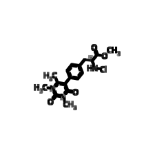 COC(=O)[C@H](Cc1ccc(-c2c(C)n(C)c(=O)n(C)c2=O)cc1)NCl